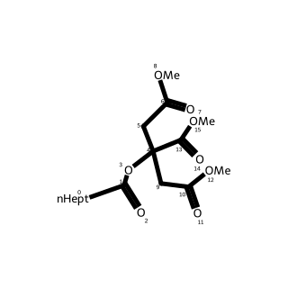 CCCCCCCC(=O)OC(CC(=O)OC)(CC(=O)OC)C(=O)OC